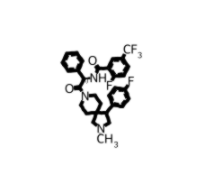 CN1CC(c2ccc(F)cc2)C2(CCN(C(=O)[C@H](NC(=O)c3cc(C(F)(F)F)ccc3F)c3ccccc3)CC2)C1